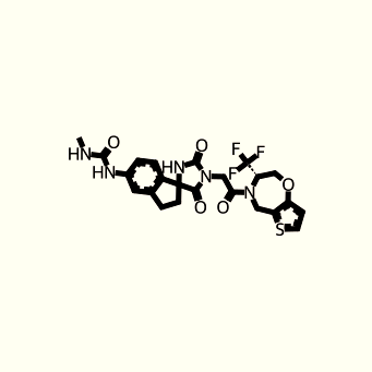 CNC(=O)Nc1ccc2c(c1)CCC21NC(=O)N(CC(=O)N2Cc3sccc3OC[C@H]2C(F)(F)F)C1=O